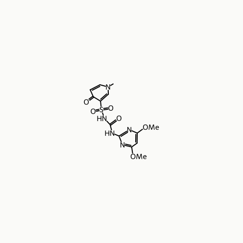 COc1cc(OC)nc(NC(=O)NS(=O)(=O)c2cn(C)ccc2=O)n1